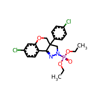 CCOP(=O)(OCC)N1CC2(c3ccc(Cl)cc3)COc3cc(Cl)ccc3C2=N1